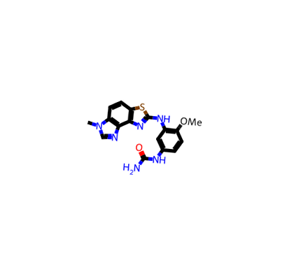 COc1ccc(NC(N)=O)cc1Nc1nc2c(ccc3c2ncn3C)s1